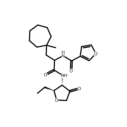 CC[C@@H]1OCC(=O)[C@H]1NC(=O)C(CC1(C)CCCCCC1)NC(=O)c1ccoc1